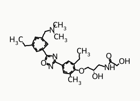 CCc1cc(CN(C)C)cc(-c2nc(-c3cc(C)c(OC[C@@H](O)CNC(=O)CO)c(CC)c3)no2)c1